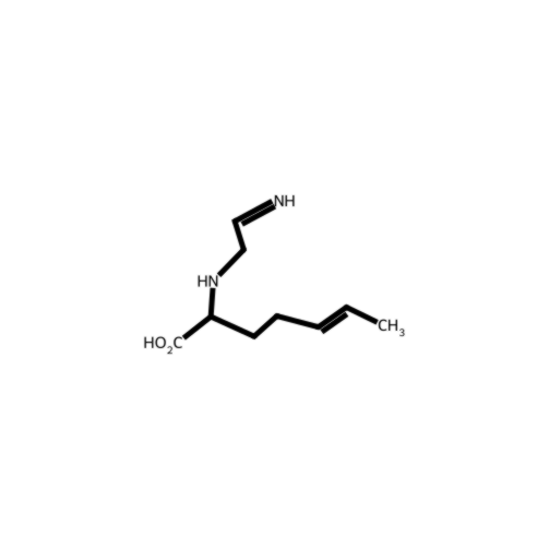 CC=CCCC(NCC=N)C(=O)O